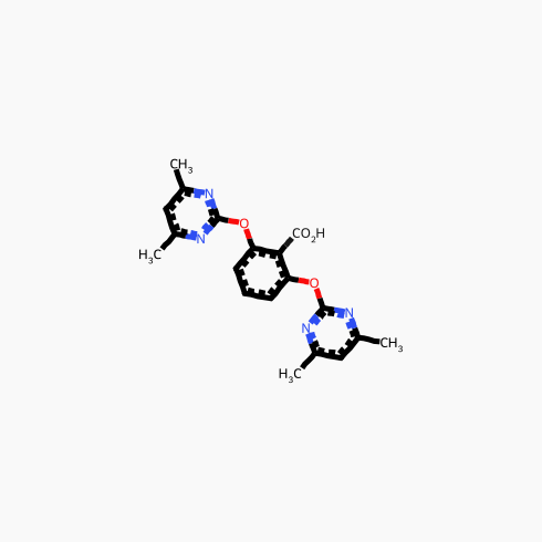 Cc1cc(C)nc(Oc2cccc(Oc3nc(C)cc(C)n3)c2C(=O)O)n1